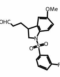 COc1ccc2c(c1)C(CCC=O)CN2S(=O)(=O)c1cccc(F)c1